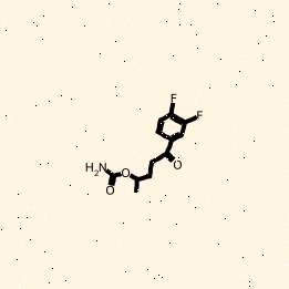 CC(CCC(=O)c1ccc(F)c(F)c1)OC(N)=O